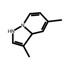 CC1=CC2C(C)=CNN2C=C1